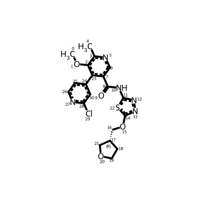 COc1c(C)ncc(C(=O)Nc2nnc(OC[C@@H]3CCOC3)s2)c1-c1ccnc(Cl)c1